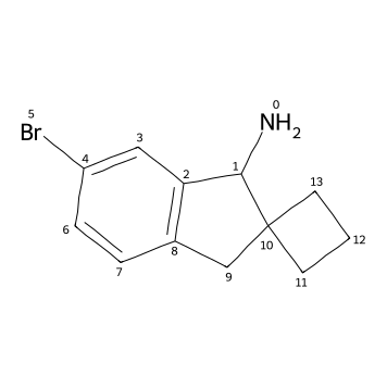 NC1c2cc(Br)ccc2CC12CCC2